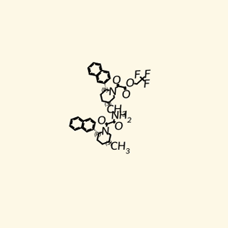 C[C@H]1CC[C@H](c2ccc3ccccc3c2)N(C(=O)C(=O)OCC(F)(F)F)C1.C[C@H]1CC[C@H](c2ccc3ccccc3c2)N(C(=O)C(N)=O)C1